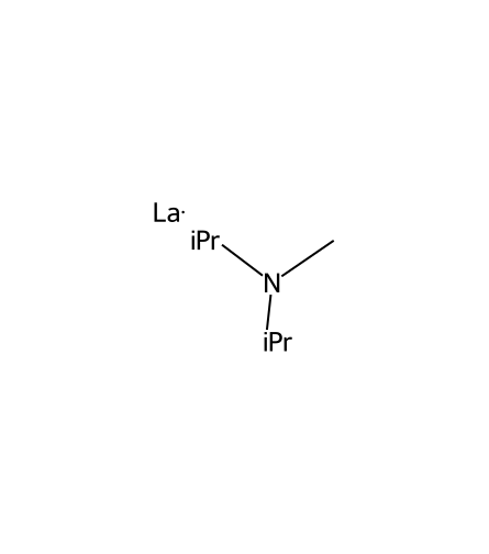 CC(C)N(C)C(C)C.[La]